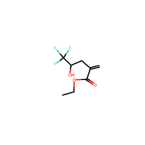 C=C(CC(O)C(F)(F)F)C(=O)OCC